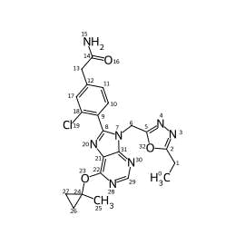 CCc1nnc(Cn2c(-c3ccc(CC(N)=O)cc3Cl)nc3c(OC4(C)CC4)ncnc32)o1